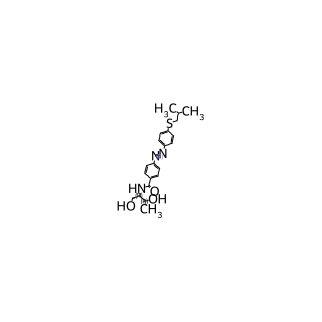 CC(C)CSc1ccc(/N=N/c2ccc(C(=O)N[C@H](CO)[C@@H](C)O)cc2)cc1